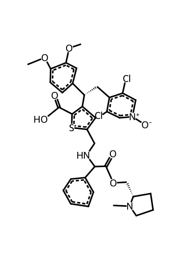 COc1ccc([C@H](Cc2c(Cl)c[n+]([O-])cc2Cl)c2cc(CNC(C(=O)OC[C@@H]3CCCN3C)c3ccccc3)sc2C(=O)O)cc1OC